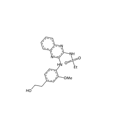 CCS(=O)(=O)Nc1nc2ccccc2nc1Nc1ccc(CCO)cc1OC